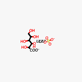 O=C([O-])C(O)C(O)C(O)C(O)CO.O=S(=O)([O-])[O-].[Li+].[Li+].[Li+]